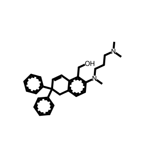 CN(C)CCCN(C)c1ccc2c(c1CO)C=CC(c1ccccc1)(c1ccccc1)C2